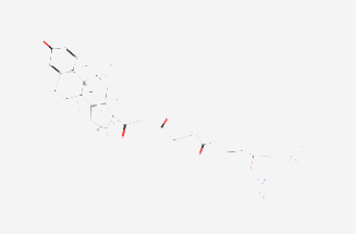 C[C@]12C=CC(=O)C=C1CC[C@H]1[C@@H]3C[C@@H](O)[C@](O)(C(=O)COC(=O)CNC(=O)OCCC(CON(O)O)ON(O)O)[C@@]3(C)C[C@H](O)[C@@]12F